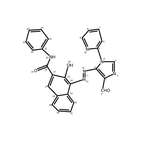 O=Cc1ncn(-c2ccccn2)c1/N=N/c1c(O)c(C(=O)Nc2ccccc2)cc2ccccc12